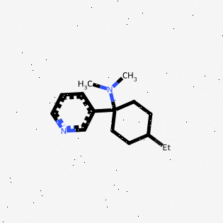 [CH2]CC1CCC(c2cccnc2)(N(C)C)CC1